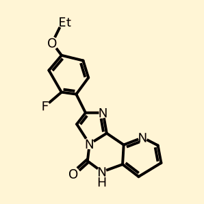 CCOc1ccc(-c2cn3c(=O)[nH]c4cccnc4c3n2)c(F)c1